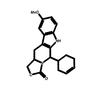 COc1ccc2[nH]c3c(c2c1)CC1COC(=O)N1C3C1CC=CCC1